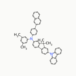 Cc1cc(C)cc(N(c2ccc(-c3ccc4ccccc4c3)cc2)c2ccc3c(c2)C(C)(C)c2cc(-n4c5ccccc5c5ccccc54)ccc2-3)c1